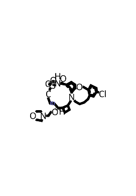 O=C1NS(=O)(=O)CCC/C=C/[C@@H](OCCN2CCOCC2)[C@H]2CCC2CN2CCCCc3cc(Cl)ccc3COc3ccc1cc32